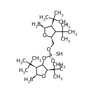 B[C@@H]1O[C@H](C(C)(C)C)C(O[P@@](=O)(S)OC[C@H]2O[C@@H](B)[C@@H](C(C)(C)C)C2C(C)(C)C)[C@@H]1C(C)(C)C